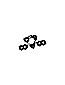 CS1(C)c2cccc(c2)N(c2ccc3ccccc3c2)c2cccc(c2Cl)N(c2ccc3ccccc3c2)c2cccc1c2